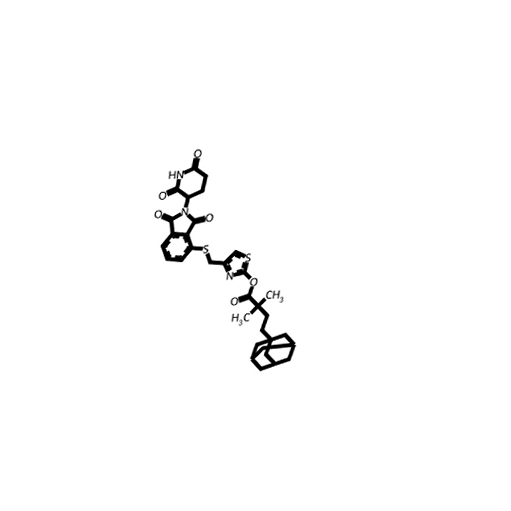 CC(C)(CCC12CC3CC(CC(C3)C1)C2)C(=O)Oc1nc(CSc2cccc3c2C(=O)N(C2CCC(=O)NC2=O)C3=O)cs1